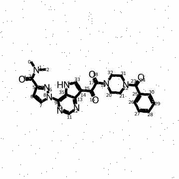 CN(C)C(=O)c1ccn(-c2ncnc3c(C(=O)C(=O)N4CCN(C(=O)c5ccccc5)CC4)c[nH]c23)n1